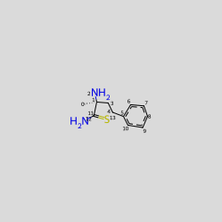 C[C@](N)(CCc1ccccc1)C(N)=S